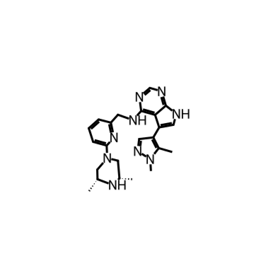 Cc1c(-c2c[nH]c3ncnc(NCc4cccc(N5C[C@@H](C)N[C@@H](C)C5)n4)c23)cnn1C